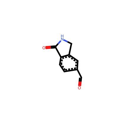 O=Cc1ccc2c(c1)CNC2=O